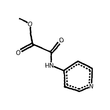 COC(=O)C(=O)Nc1ccncc1